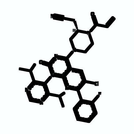 C=CC(=O)N1CCN(c2nc(=O)n(-c3c(C(C)C)ncnc3C(C)C)c3nc(-c4ccccc4F)c(Cl)cc23)C[C@@H]1CC#N